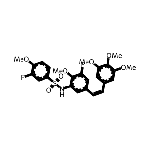 COc1ccc(S(=O)(=O)Nc2cc(/C=C\c3cc(OC)c(OC)c(OC)c3)cc(F)c2OC)cc1F